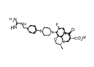 C[C@H]1COc2c(N3CCN(c4ccc(CNC(=N)N)cc4)CC3)c(F)cc3c(=O)c(C(=O)O)cn1c23